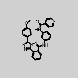 COc1ccc(-c2nnc3c4ccccc4c(Nc4cccc(NC(=O)c5ccncc5)c4)nn23)cc1